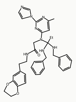 CCC(NCc1ccccc1)(NCc1ccccc1)N(CC(=O)NCCc1ccc2c(c1)OCCO2)c1cc(C)nc(-n2ccnc2)n1